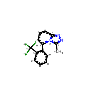 Cc1nnc2cccc(-c3ccccc3C(F)(F)F)n12